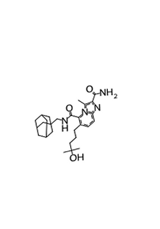 Cc1c(C(N)=O)nc2ccc(CCCC(C)(C)O)c(C(=O)NCC34CC5CC(CC(C5)C3)C4)n12